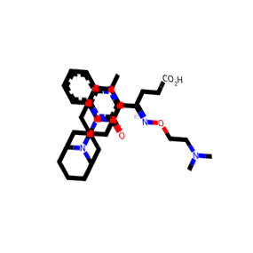 CC1CC2CC(C1)CC(N1C3CCCC1CC(n1c(=O)c(/C(CCC(=O)O)=N/OCCN(C)C)nc4ccccc41)C3)C2